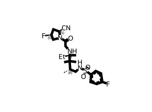 CC[C@](C)(NCC(=O)N1C[C@@H](F)C[C@H]1C#N)C(C)(C)[C@@H](C)CNS(=O)(=O)c1ccc(F)cc1